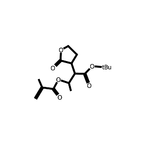 C=C(C)C(=O)OC(C)C(C(=O)OC(C)(C)C)C1CCOC1=O